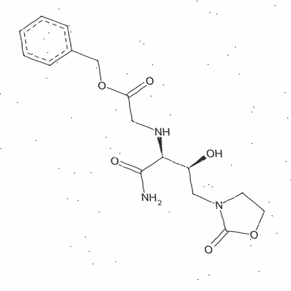 NC(=O)[C@@H](NCC(=O)OCc1ccccc1)[C@@H](O)CN1CCOC1=O